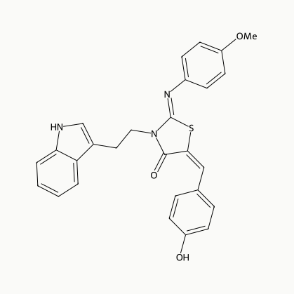 COc1ccc(/N=C2\S/C(=C/c3ccc(O)cc3)C(=O)N2CCc2c[nH]c3ccccc23)cc1